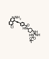 CC(C)(C)OC(=O)NC(=N)NC1CCC(NC(=O)c2ccc(C#Cc3c(N)ncc4ccc(Cl)cc34)cc2)CC1